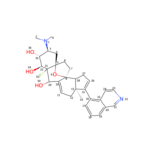 CN(C)[C@H]1C[C@@]23CC[C@@]4(O2)C(=CC[C@]2(C)C(c5cccc6cnccc56)=CCC24)C(O)C3(F)[C@@H](O)[C@@H]1O